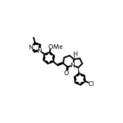 COc1cc(C=C2CC[C@H]3CC[C@@H](c4cccc(Cl)c4)N3C2=O)ccc1-n1cnc(C)c1